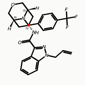 C=CCn1nc(C(=O)N[C@H]2C[C@H]3COC[C@@H](C2)N3Cc2ccc(C(F)(F)F)cc2)c2ccccc21